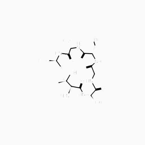 CC[C@H](C)[C@H](NC(=O)[C@@H](N)[C@@H](C)O)C(=O)NCC(=O)N[C@@H](CC(C)C)C(=O)N[C@H](C(=O)N[C@H](C(=O)O)C(C)C)C(C)C